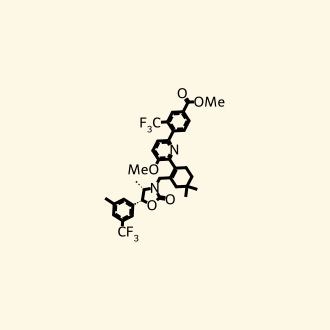 COC(=O)c1ccc(-c2ccc(OC)c(C3=C(CN4C(=O)O[C@H](c5cc(C)cc(C(F)(F)F)c5)[C@@H]4C)CC(C)(C)CC3)n2)c(C(F)(F)F)c1